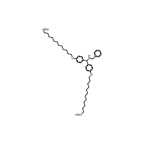 CCCCCCCCCCCCCCCCCCCCCCOc1ccc(C(NCc2ccccc2)c2ccc(OCCCCCCCCCCCCCCCCCCCCCC)cc2)cc1